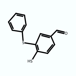 O=Cc1ccc(S)c(Sc2ccccc2)c1